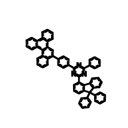 c1ccc(-c2nc(-c3ccc(-c4cc5c6ccccc6c6ccccc6c5c5ccccc45)cc3)nc(-c3cccc4c3-c3ccccc3C4(c3ccccc3)c3ccccc3)n2)cc1